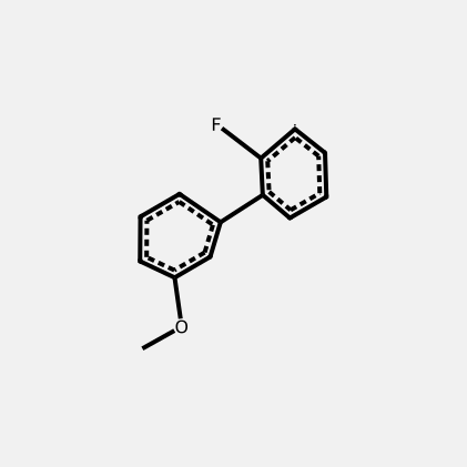 COc1cccc(-c2ccc[c]c2F)c1